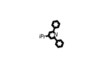 CC(C)c1cc(-c2ccccc2)nc(-c2ccccc2)c1